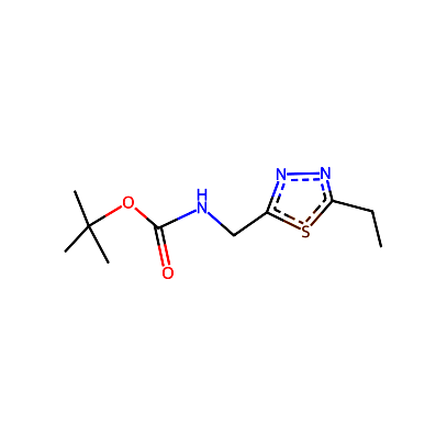 CCc1nnc(CNC(=O)OC(C)(C)C)s1